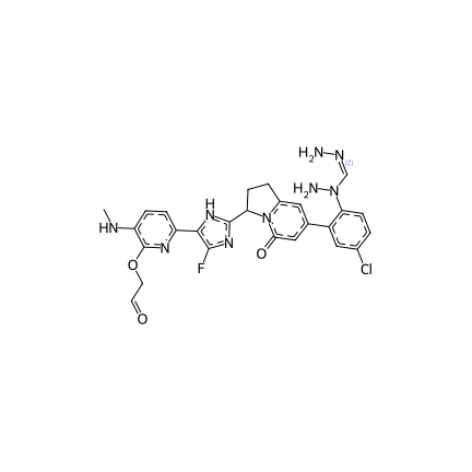 CNc1ccc(-c2[nH]c(C3CCc4cc(-c5cc(Cl)ccc5N(N)/C=N\N)cc(=O)n43)nc2F)nc1OCC=O